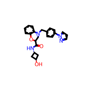 O=C(N[C@H]1C[C@H](O)C1)C1CN(Cc2ccc(-n3cccn3)cc2)c2ccccc2O1